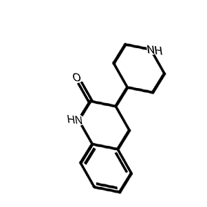 O=C1Nc2ccccc2CC1C1CCNCC1